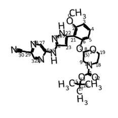 COc1cccc(O[C@H]2CN(C(=O)OC(C)(C)C)CCO2)c1-c1cc(Nc2cnc(C#N)cn2)n[nH]1